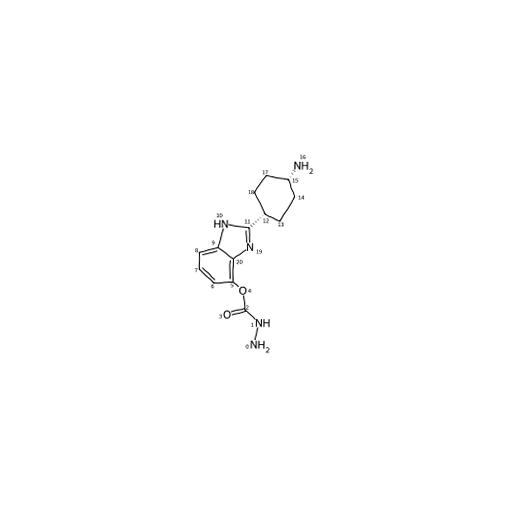 NNC(=O)Oc1cccc2[nH]c([C@H]3CC[C@@H](N)CC3)nc12